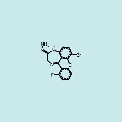 NN=C1CN=C(c2ccccc2F)c2c(ccc(Br)c2Cl)N1